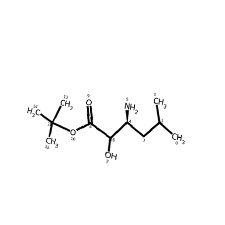 CC(C)C[C@H](N)C(O)C(=O)OC(C)(C)C